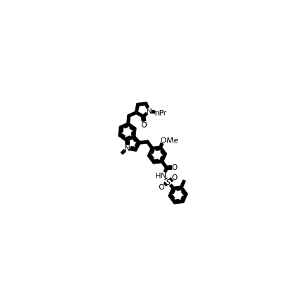 CCCN1CCC(Cc2ccc3c(c2)c(Cc2ccc(C(=O)NS(=O)(=O)c4ccccc4C)cc2OC)cn3C)C1=O